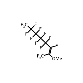 CO/C(=C(\F)C(F)(F)C(F)(F)C(F)(F)C(F)(F)C(F)(F)F)C(F)(F)F